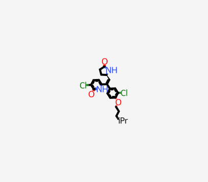 CC(C)CCCOc1ccc(C(=C[C@H]2CCC(=O)N2)c2ccc(Cl)c(=O)[nH]2)cc1Cl